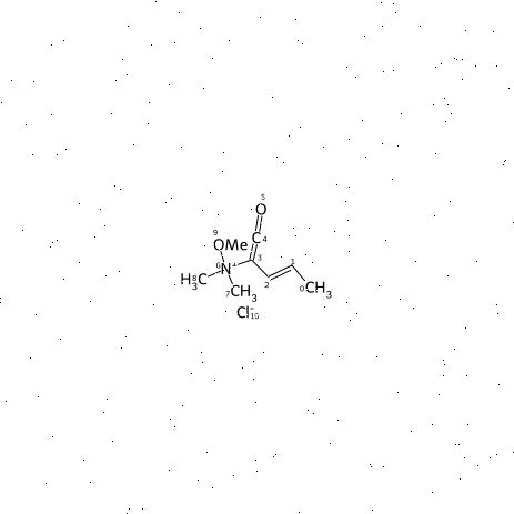 CC=CC(=C=O)[N+](C)(C)OC.[Cl-]